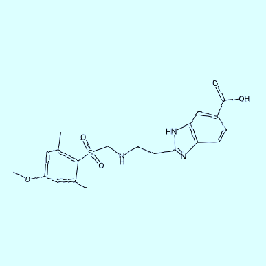 COc1cc(C)c(S(=O)(=O)CNCCc2nc3ccc(C(=O)O)cc3[nH]2)c(C)c1